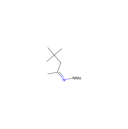 CNN=C(C)CC(C)(C)C